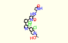 COc1nc(-c2cccc(-c3ccnc(-c4cc(Cl)c5c(c4)CCN(C[C@@H](C)O)C5)c3Cl)c2Cl)ccc1CNC[C@H]1CCC(=O)N1